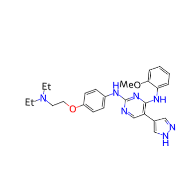 CCN(CC)CCOc1ccc(Nc2ncc(-c3cn[nH]c3)c(Nc3ccccc3OC)n2)cc1